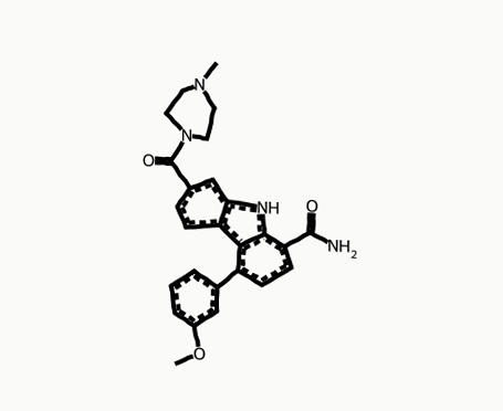 COc1cccc(-c2ccc(C(N)=O)c3[nH]c4cc(C(=O)N5CCN(C)CC5)ccc4c23)c1